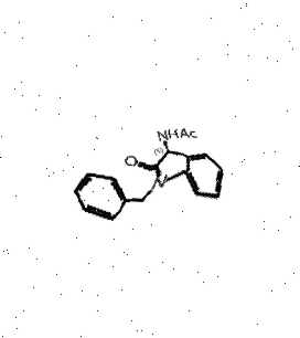 CC(=O)N[C@@H]1C(=O)N(Cc2ccccc2)c2ccccc21